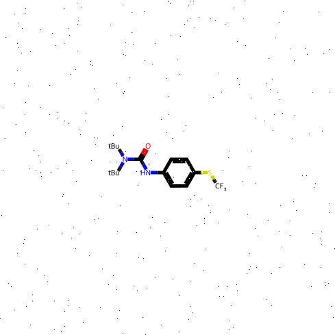 CC(C)(C)N(C(=O)Nc1ccc(SC(F)(F)F)cc1)C(C)(C)C